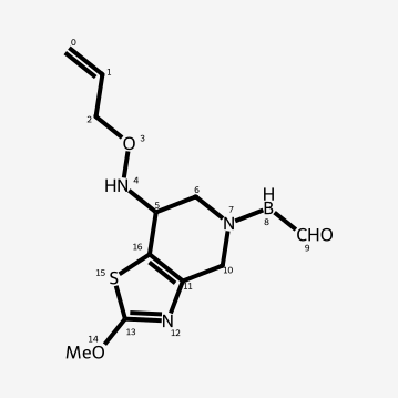 C=CCONC1CN(BC=O)Cc2nc(OC)sc21